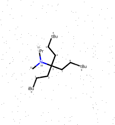 CCC(C)CCC(CCC(C)(C)C)(CCC(C)(C)C)N(C)C(C)C